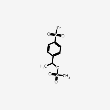 CC(OS(C)(=O)=O)c1ccc(S(=O)(=O)C(C)C)cc1